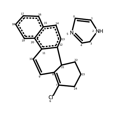 C1=CNCC=N1.ClC1=C2C=Cc3c(ccc4ccccc34)C2CCC1